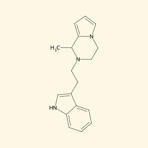 CC1c2cccn2CCN1CCc1c[nH]c2ccccc12